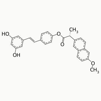 COc1ccc2cc([C@@H](C)C(=O)Oc3ccc(/C=C/c4cc(O)cc(O)c4)cc3)ccc2c1